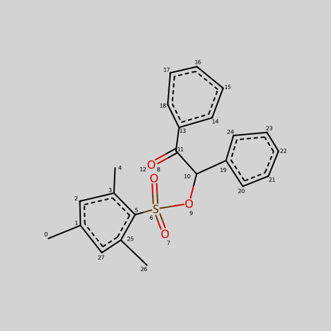 Cc1cc(C)c(S(=O)(=O)OC(C(=O)c2ccccc2)c2ccccc2)c(C)c1